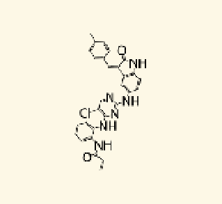 C=CC(=O)Nc1ccccc1Nc1nc(Nc2ccc3c(c2)/C(=C/c2ccc(C)cc2)C(=O)N3)ncc1Cl